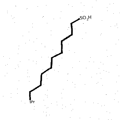 CC(C)CCCCCCCCCS(=O)(=O)O